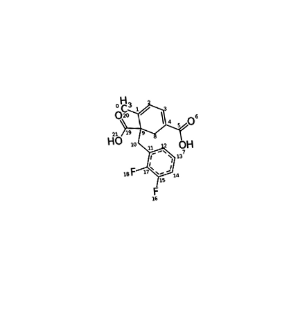 CC1=CC=C(C(=O)O)CC1(Cc1cccc(F)c1F)C(=O)O